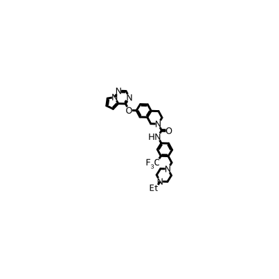 CCN1CCN(Cc2ccc(NC(=O)N3CCc4ccc(Oc5ncnn6cccc56)cc4C3)cc2C(F)(F)F)CC1